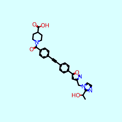 CC(O)c1nccn1Cc1cc(-c2ccc(C#Cc3ccc(C(=O)N4CCC(C(=O)O)CC4)cc3)cc2)on1